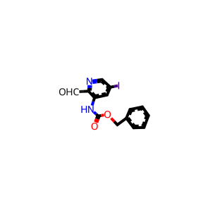 O=Cc1ncc(I)cc1NC(=O)OCc1ccccc1